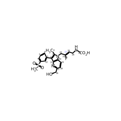 Cc1c(-c2cccc(S(C)(=O)=O)c2)c2nc(CO)ccc2n1C/C(F)=C/CNC(=O)O